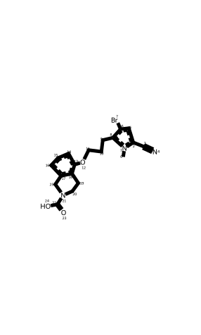 Cn1c(C#N)cc(Br)c1CCCOc1cccc2c1CCN(C(=O)O)C2